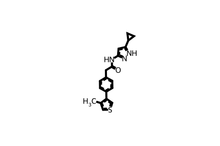 Cc1cscc1-c1ccc(CC(=O)Nc2cc(C3CC3)[nH]n2)cc1